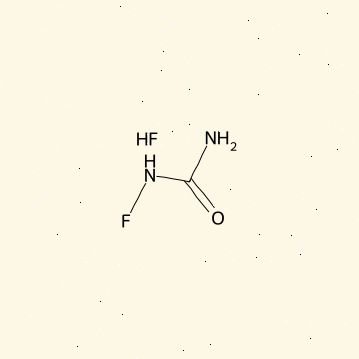 F.NC(=O)NF